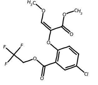 COC=C(Oc1ccc(Cl)cc1C(=O)OCC(F)(F)F)C(=O)OC